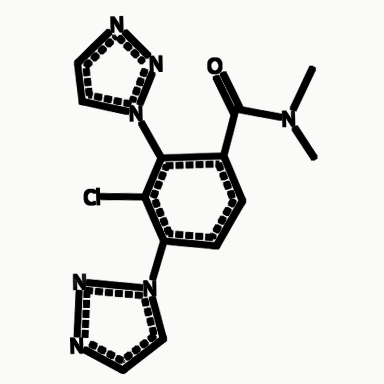 CN(C)C(=O)c1ccc(-n2ccnn2)c(Cl)c1-n1ccnn1